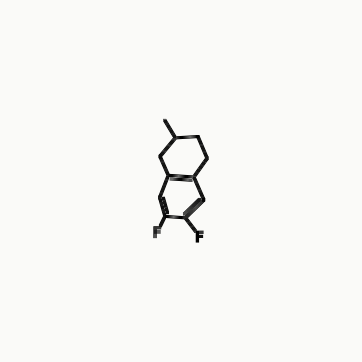 CC1CCc2cc(F)c(F)cc2C1